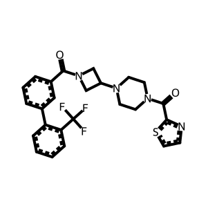 O=C(c1cccc(-c2ccccc2C(F)(F)F)c1)N1CC(N2CCN(C(=O)c3nccs3)CC2)C1